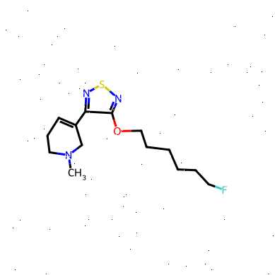 CN1CCC=C(c2nsnc2OCCCCCCF)C1